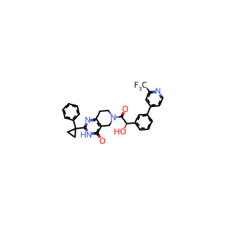 O=C([C@H](O)c1cccc(-c2ccnc(C(F)(F)F)c2)c1)N1CCc2nc(C3(c4ccccc4)CC3)[nH]c(=O)c2C1